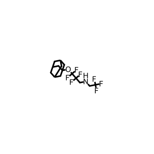 FC(F)(F)CNCC(F)(F)C(F)(F)OC12CC3CC(CC(C3)C1)C2